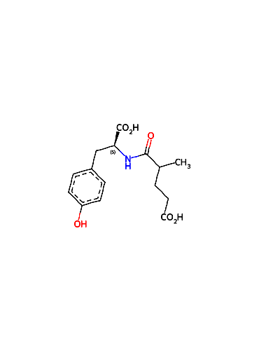 CC(CCC(=O)O)C(=O)N[C@@H](Cc1ccc(O)cc1)C(=O)O